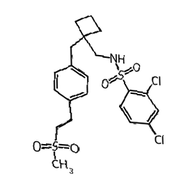 CS(=O)(=O)CCc1ccc(CC2(CNS(=O)(=O)c3ccc(Cl)cc3Cl)CCC2)cc1